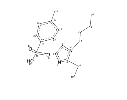 CCCCn1ccnc1CC.Cc1ccc(S(=O)(=O)O)cc1